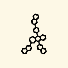 C1=C(c2ccc3ccccc3c2)C=c2c(-c3ccc4ccccc4c3)c3ccccc3c(-c3ccc(-c4ccc5ccccc5c4)cc3)c2=CC1